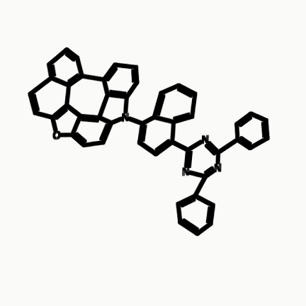 c1ccc(-c2nc(-c3ccccc3)nc(-c3ccc(-n4c5cccc6c5c5c7c(ccc54)oc4ccc5cccc-6c5c47)c4ccccc34)n2)cc1